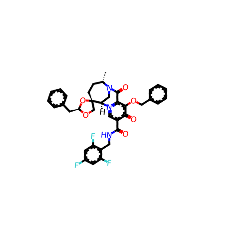 C[C@H]1CC[C@]2(CO[C@@H](Cc3ccccc3)O2)[C@H]2CN1C(=O)c1c(OCc3ccccc3)c(=O)c(C(=O)NCc3c(F)cc(F)cc3F)cn12